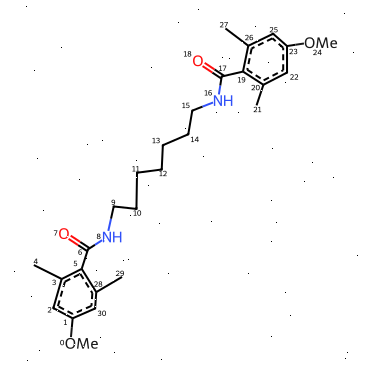 COc1cc(C)c(C(=O)NCCCCCCCNC(=O)c2c(C)cc(OC)cc2C)c(C)c1